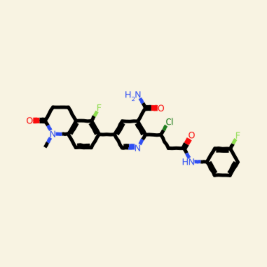 CN1C(=O)CCc2c1ccc(-c1cnc(C(Cl)CC(=O)Nc3cccc(F)c3)c(C(N)=O)c1)c2F